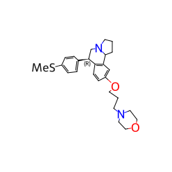 CSc1ccc([C@H]2CN3CCCC3c3cc(OCCCN4CCOCC4)ccc32)cc1